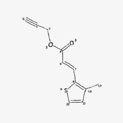 C#CCOC(=O)C=Cc1sccc1C